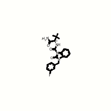 CC(C)(C)[C@H](NC(=O)n1c(=O)n(Cc2cccc(F)c2)c2ccccc21)C(N)=O